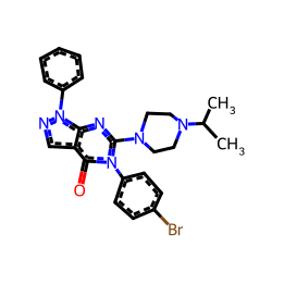 CC(C)N1CCN(c2nc3c(cnn3-c3ccccc3)c(=O)n2-c2ccc(Br)cc2)CC1